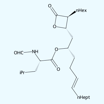 CCCCCCC/C=C/CC[C@@H](C[C@@H]1OC(=O)[C@H]1CCCCCC)OC(=O)[C@H](CC(C)C)NC=O